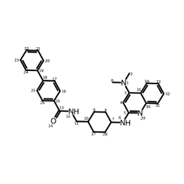 CN(C)c1cc(NC2CCC(CNC(=O)c3ccc(-c4ccccc4)cc3)CC2)nc2ccccc12